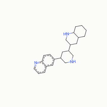 c1cnc2ccc(C3CNCC(C4CNC5CCCCC5C4)C3)cc2c1